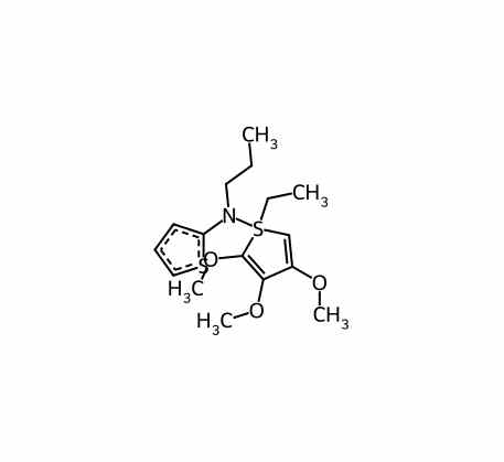 CCCN(c1cccs1)S1(CC)C=C(OC)C(OC)=C1OC